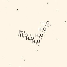 O.O.O.O.O.O.[Pt]